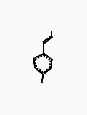 [CH2]C=Cc1ccc(Br)cc1